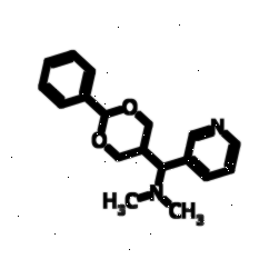 CN(C)C(c1cccnc1)C1COC(c2ccccc2)OC1